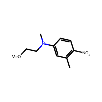 COCCN(C)c1ccc([N+](=O)[O-])c(C)c1